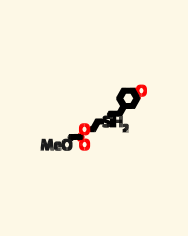 COCC(=O)OCC[SiH2]CCC1CCC2OC2C1